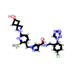 Cc1nc(N2CC3(CC(O)C3)C2)ccc1Cn1cc(C(=O)NCc2cc(Cl)ccc2-n2cnnn2)cn1